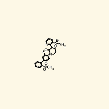 CS(=O)(=O)c1ccccc1-c1ccc(N2CCCC(c3ncccc3S(N)(=O)=O)C2=O)c(F)c1